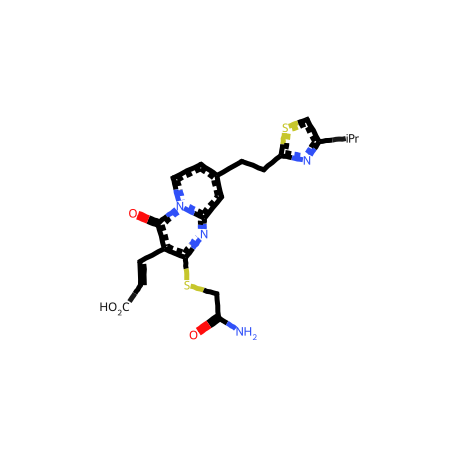 CC(C)c1csc(CCc2ccn3c(=O)c(C=CC(=O)O)c(SCC(N)=O)nc3c2)n1